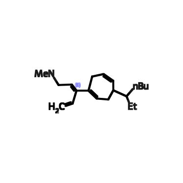 C=C/C(=C\CNC)C1=CCC(C(CC)CCCC)C=CC1